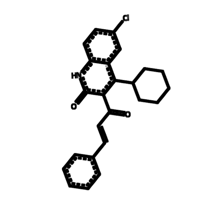 O=C(C=Cc1ccccc1)c1c(C2CCCCC2)c2cc(Cl)ccc2[nH]c1=O